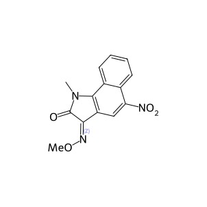 CO/N=C1\C(=O)N(C)c2c1cc([N+](=O)[O-])c1ccccc21